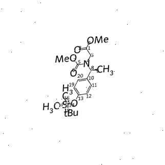 COC(=O)CN(C(=O)OC)[C@@H](C)c1ccc(O[Si](C)(C)C(C)(C)C)cc1